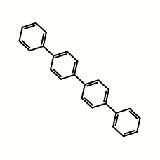 c1ccc(-c2ccc(-c3ccc(-c4ccccc4)cc3)cc2)cc1